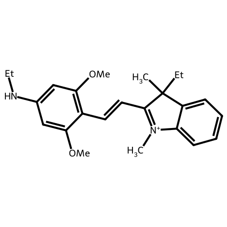 CCNc1cc(OC)c(/C=C/C2=[N+](C)c3ccccc3C2(C)CC)c(OC)c1